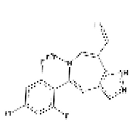 CCCN1C=C(C=N)c2[nH]ncc2N=C1c1c(F)cc(Cl)cc1F